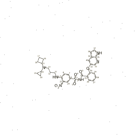 O=C(NS(=O)(=O)c1ccc(NCCCN(C2CCC2)C2CC2)c([N+](=O)[O-])c1)c1ccccc1Oc1cnc2[nH]ccc2c1